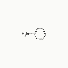 [InH2][c]1ccccc1